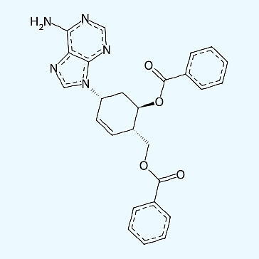 Nc1ncnc2c1ncn2[C@H]1C=C[C@@H](COC(=O)c2ccccc2)[C@H](OC(=O)c2ccccc2)C1